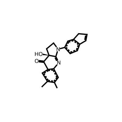 Cc1cc2c(cc1C)C(=O)[C@]1(O)CCN(c3ccc4c(c3)CC=C4)C1=N2